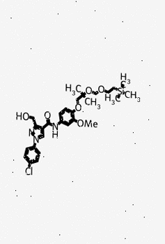 COc1cc(NC(=O)c2cn(-c3ccc(Cl)cc3)nc2CO)ccc1OCC(C)(C)OCOCC[Si](C)(C)C